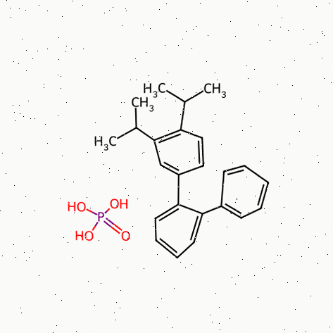 CC(C)c1ccc(-c2ccccc2-c2ccccc2)cc1C(C)C.O=P(O)(O)O